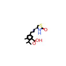 Cc1cc(C/C=C/[C@H]2CSC(=O)N2)cc(C(=O)O)c1C(C)C